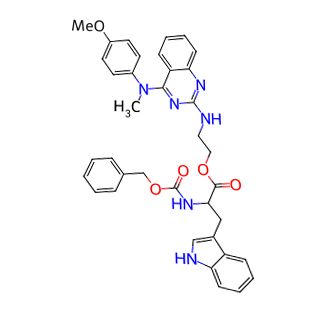 COc1ccc(N(C)c2nc(NCCOC(=O)C(Cc3c[nH]c4ccccc34)NC(=O)OCc3ccccc3)nc3ccccc23)cc1